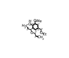 C=CCOCC=C.CCOCc1ccc(O)c(OC)c1